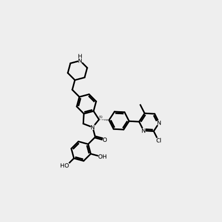 Cc1cnc(Cl)nc1-c1ccc([C@H]2c3ccc(CC4CCNCC4)cc3CN2C(=O)c2ccc(O)cc2O)cc1